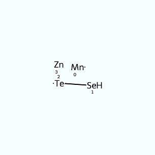 [Mn].[SeH][Te].[Zn]